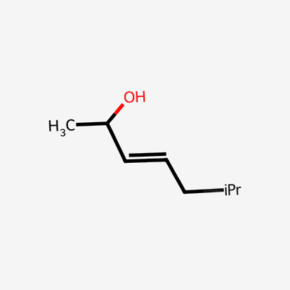 CC(O)C=CCC(C)C